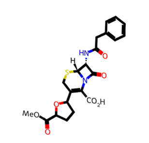 COC(=O)C1CCC(C2=C(C(=O)O)N3C(=O)[C@@H](NC(=O)Cc4ccccc4)[C@H]3SC2)O1